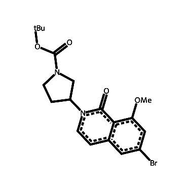 COc1cc(Br)cc2ccn(C3CCN(C(=O)OC(C)(C)C)C3)c(=O)c12